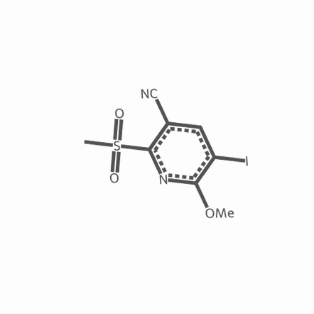 COc1nc(S(C)(=O)=O)c(C#N)cc1I